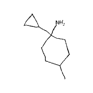 CC1CCC(N)(C2CC2)CC1